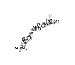 CC(=O)N1CCN(C(=O)c2cccc(CSc3cnc(NC(=O)c4ccc(NC[C@@H](O)CO)nc4)s3)c2)CC1